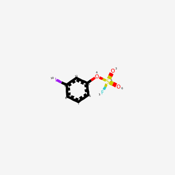 O=S(=O)(F)Oc1cccc(I)c1